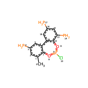 Cc1cc(P)cc2c1op(Cl)oc1c(P)cc(P)cc12